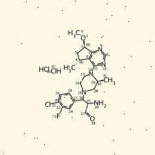 CO[C@@H]1C[C@@H](C)c2c1ncnc2N1CCN(C(c2ccc(Cl)c(F)c2)C(N)C=O)C[C@@H]1C.Cl.Cl